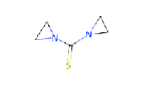 S=C(N1CC1)N1CC1